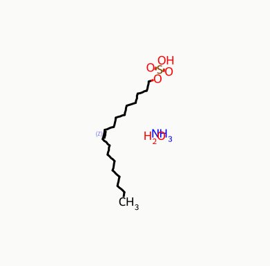 CCCCCCCC/C=C\CCCCCCCCOS(=O)(=O)O.N.O